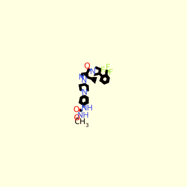 CONC(=O)Nc1ccc(N2CCC(n3ncc(C(=O)N4CCC(c5ccccc5C(F)(F)F)C4)c3C3CC3)CC2)cc1